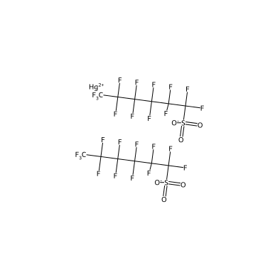 O=S(=O)([O-])C(F)(F)C(F)(F)C(F)(F)C(F)(F)C(F)(F)C(F)(F)F.O=S(=O)([O-])C(F)(F)C(F)(F)C(F)(F)C(F)(F)C(F)(F)C(F)(F)F.[Hg+2]